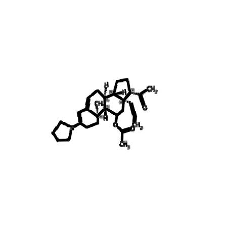 C=C=C[C@]12CC(OC(C)=O)[C@H]3[C@@H](CC=C4C=C(N5CCCC5)CC[C@@]43C)[C@@H]1CC[C@@H]2C(C)=O